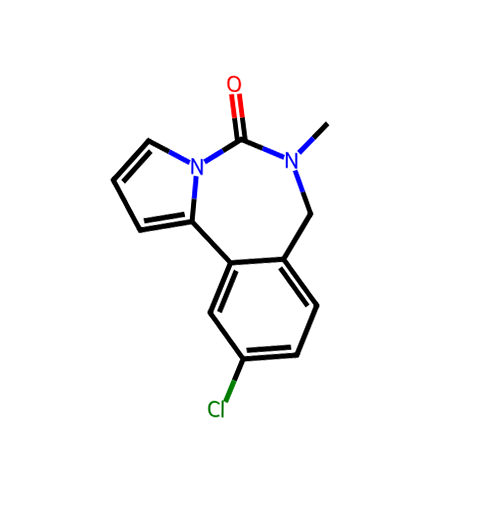 CN1Cc2ccc(Cl)cc2-c2cccn2C1=O